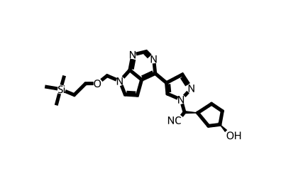 C[Si](C)(C)CCOCn1ccc2c(-c3cnn(C(C#N)[C@H]4CC[C@@H](O)C4)c3)ncnc21